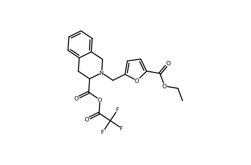 CCOC(=O)c1ccc(CN2Cc3ccccc3CC2C(=O)OC(=O)C(F)(F)F)o1